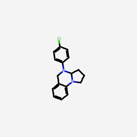 Clc1ccc(N2Cc3ccccc3N3CCCC23)cc1